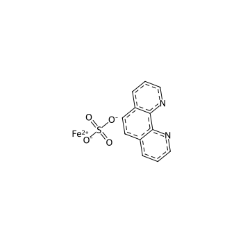 O=S(=O)([O-])[O-].[Fe+2].c1cnc2c(c1)ccc1cccnc12